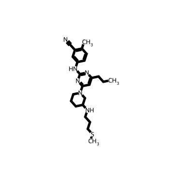 CCCc1cc(N2CCCC(NCCCSC)C2)nc(Nc2ccc(C)c(C#N)c2)n1